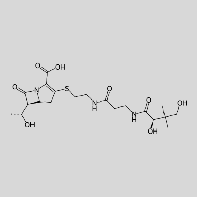 C[C@@H](O)[C@H]1C(=O)N2C(C(=O)O)=C(SCCNC(=O)CCNC(=O)[C@H](O)C(C)(C)CO)CC12